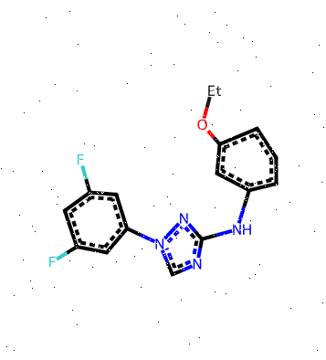 CCOc1cccc(Nc2ncn(-c3cc(F)cc(F)c3)n2)c1